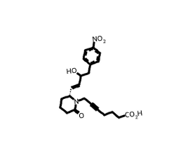 O=C(O)CCCC#CCN1C(=O)CCC[C@@H]1/C=C/C(O)Cc1ccc([N+](=O)[O-])cc1